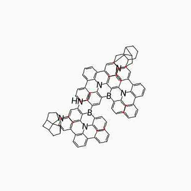 c1ccc(-c2cccc(-c3ccccc3)c2N2c3ccccc3B3c4cc5c(cc4Nc4cc(N6C7CC8CC9CC6CC89C7)cc2c43)N(c2c(-c3ccccc3)cccc2-c2ccccc2)c2cc(N3C4CC6CC3C3CCCC6C3C4)cc3c2B5c2ccccc2N3c2c(-c3ccccc3)cccc2-c2ccccc2)cc1